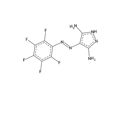 Nc1n[nH]c(N)c1N=Nc1c(F)c(F)c(F)c(F)c1F